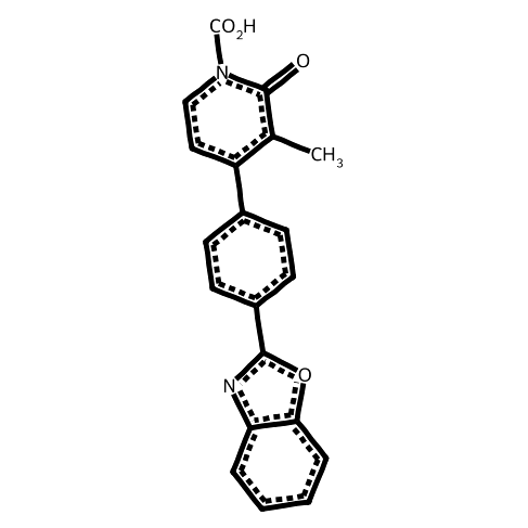 Cc1c(-c2ccc(-c3nc4ccccc4o3)cc2)ccn(C(=O)O)c1=O